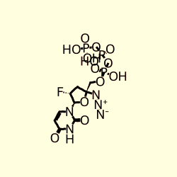 [N-]=[N+]=N[C@@]1(COP(=O)(O)OP(=O)(O)OP(=O)(O)O)C[C@@H](F)[C@H](n2ccc(=O)[nH]c2=O)O1